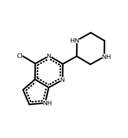 Clc1nc(C2CNCCN2)nc2[nH]ccc12